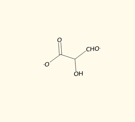 [O]C(=O)C(O)[C]=O